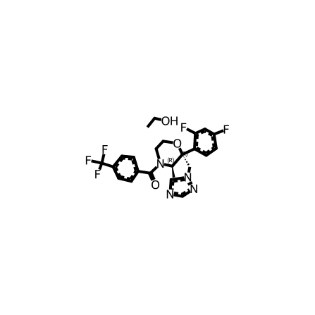 CCO.C[C@H]1N(C(=O)c2ccc(C(F)(F)F)cc2)CCO[C@@]1(Cn1cncn1)c1ccc(F)cc1F